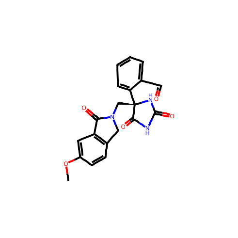 COc1ccc2c(c1)C(=O)N(C[C@@]1(c3ccccc3C=O)NC(=O)NC1=O)C2